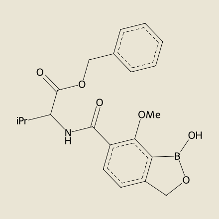 COc1c(C(=O)NC(C(=O)OCc2ccccc2)C(C)C)ccc2c1B(O)OC2